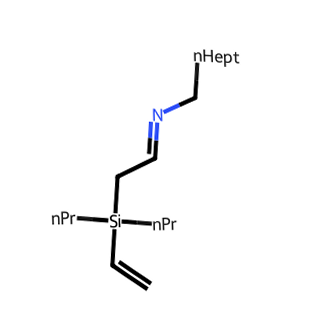 C=C[Si](CC=NCCCCCCCC)(CCC)CCC